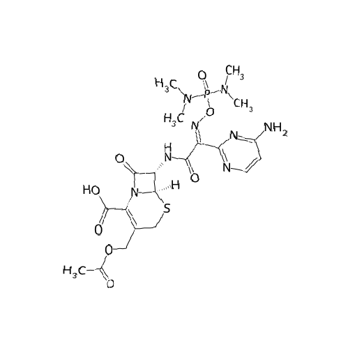 CC(=O)OCC1=C(C(=O)O)N2C(=O)[C@H](NC(=O)C(=NOP(=O)(N(C)C)N(C)C)c3nccc(N)n3)[C@H]2SC1